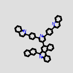 c1ccc2cc(-c3nc4ccccc4c4c3cc(-c3cc(-c5ccc(-c6ccc7ccccc7n6)cc5)nc(-c5ccc(-c6ccc7ccccc7n6)cc5)c3)c3ccccc34)ccc2c1